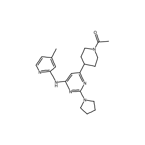 CC(=O)N1CCC(c2cc(Nc3cc(C)ccn3)nc(N3CCCC3)n2)CC1